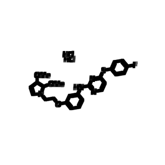 COC1C=CN(CCOc2cccc(Nc3nccc(Sc4ccc(F)cc4)n3)c2)C1OC.Cl.Cl